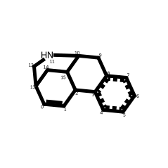 C1=CC2c3ccccc3CC3NCC1CC32